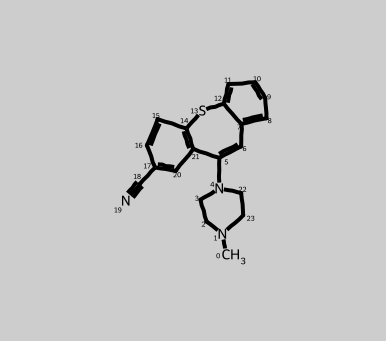 CN1CCN(C2=Cc3ccccc3Sc3ccc(C#N)cc32)CC1